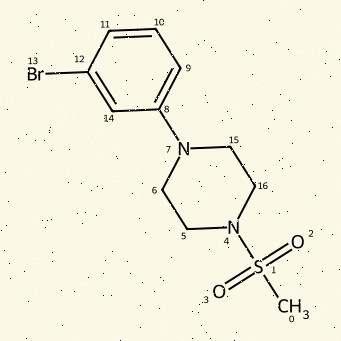 CS(=O)(=O)N1CCN(c2cccc(Br)c2)CC1